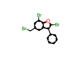 BrCc1cc(Br)c2oc(Br)c(-c3ccccc3)c2c1